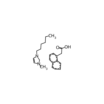 CCCCCCN1C=CN(C)C1.O=C(O)Cc1cccc2ccccc12